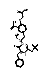 CC(C)(C)OC(=O)N[C@@H](Cc1ccccc1)C(=O)N[C@H](CO)Cc1ccc(OCC(=O)O)c(C(=O)O)c1